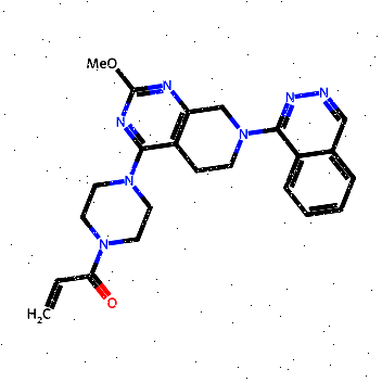 C=CC(=O)N1CCN(c2nc(OC)nc3c2CCN(c2nncc4ccccc24)C3)CC1